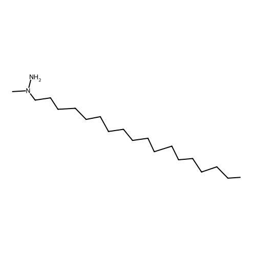 CCCCCCCCCCCCCCCCCCN(C)N